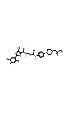 O=C(O)C[C@H]1CC[C@H](c2ccc(NC(=O)CCNC(=O)c3nc(-c4cc(F)c(F)cc4F)oc3Cl)cc2)CC1